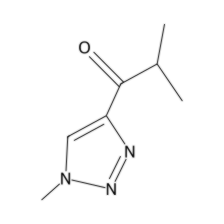 CC(C)C(=O)c1cn(C)nn1